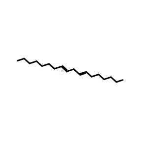 CCCCCCC=CC/[C]=C/CCCCCCC